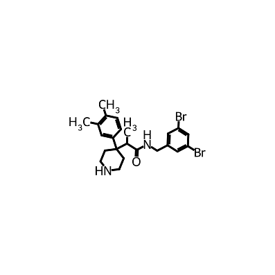 Cc1ccc(C2(C(C)C(=O)NCc3cc(Br)cc(Br)c3)CCNCC2)cc1C